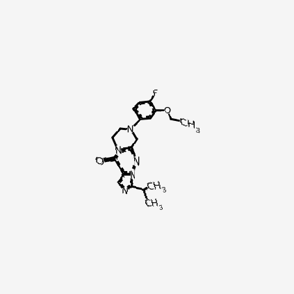 CCOc1cc(N2CCn3c(nn4c(C(C)C)ncc4c3=O)C2)ccc1F